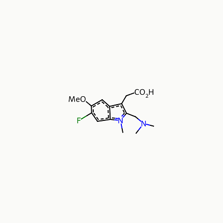 COc1cc2c(CC(=O)O)c(CN(C)C)n(C)c2cc1F